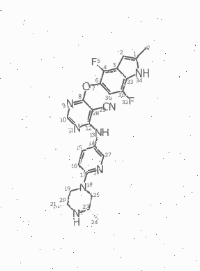 Cc1cc2c(F)c(Oc3ncnc(Nc4ccc(N5C[C@@H](C)N[C@@H](C)C5)nc4)c3C#N)cc(F)c2[nH]1